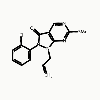 C=CCn1c2nc(SC)ncc2c(=O)n1-c1ccccc1Cl